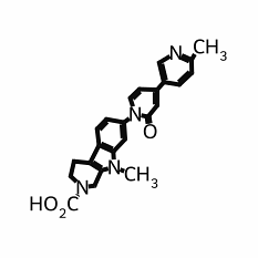 Cc1ccc(-c2ccn(-c3ccc4c5c(n(C)c4c3)CN(C(=O)O)CC5)c(=O)c2)cn1